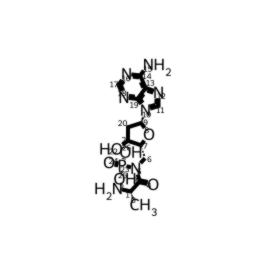 C[C@H](N)C(=O)N(C[C@H]1O[C@@H](n2cnc3c(N)ncnc32)CC1O)P(=O)(O)O